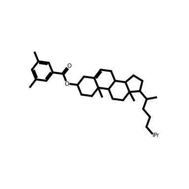 Cc1cc(C)cc(C(=O)OC2CCC3(C)C(=CCC4C3CCC3(C)C(C(C)CCCC(C)C)CCC43)C2)c1